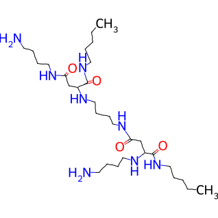 CCCCCNC(=O)C(CC(=O)NCCCCNC(CC(=O)NCCCCN)C(=O)NCCCCC)NCCCCN